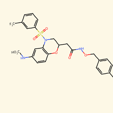 Cc1ccc(CONC(=O)CC2CN(S(=O)(=O)c3cccc(C(F)(F)F)c3)c3cc(NC(=O)O)ccc3O2)cc1